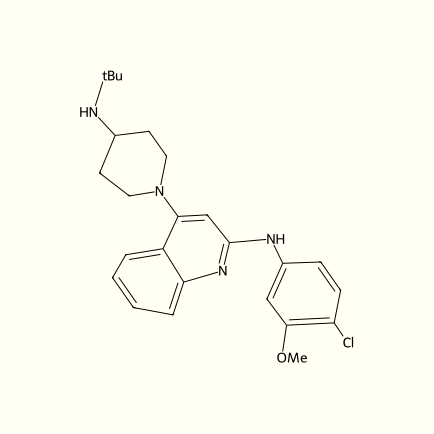 COc1cc(Nc2cc(N3CCC(NC(C)(C)C)CC3)c3ccccc3n2)ccc1Cl